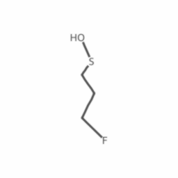 OSCCCF